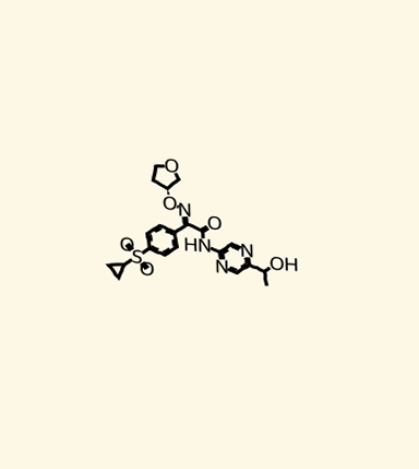 CC(O)c1cnc(NC(=O)/C(=N/O[C@@H]2CCOC2)c2ccc(S(=O)(=O)C3CC3)cc2)cn1